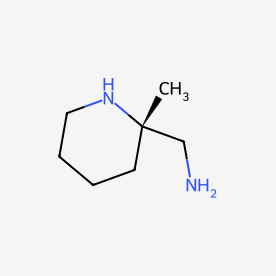 C[C@@]1(CN)CCCCN1